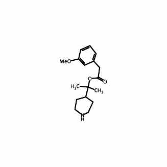 COc1cccc(CC(=O)OC(C)(C)C2CCNCC2)c1